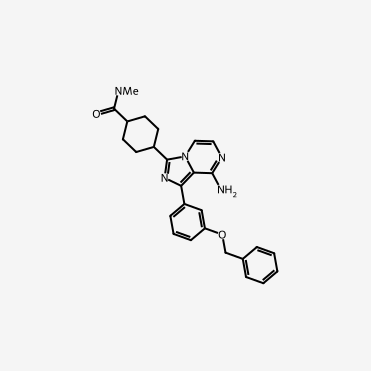 CNC(=O)C1CCC(c2nc(-c3cccc(OCc4ccccc4)c3)c3c(N)nccn23)CC1